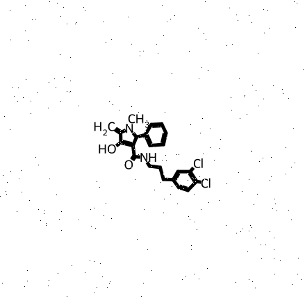 C=C1C(O)=C(C(=O)NCCCc2ccc(Cl)c(Cl)c2)C(c2ccccc2)N1C